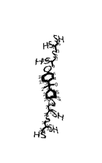 CC(C)(c1ccc(OCC(S)CSCC(S)CS)cc1)c1ccc(OCC(S)CSCC(S)CS)cc1